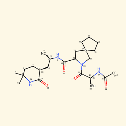 CC1(C)CC[C@@H](C[C@@H](C#N)NC(=O)C2C[Si]3(CCCC3)CN2C(=O)[C@@H](NC(=O)C(F)(F)F)C(C)(C)C)C(=O)N1